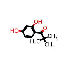 CC(C)(C)C(=O)c1ccc(O)cc1O